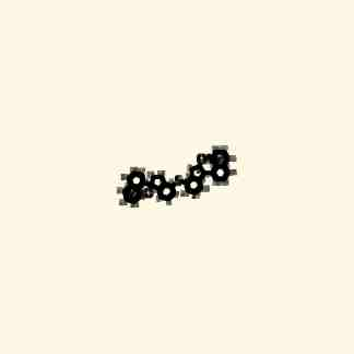 COC1Cc2c(Sc3cccc4c3CCC4(OC)c3cccc4ccccc34)cccc2C1c1cccc2ccccc12